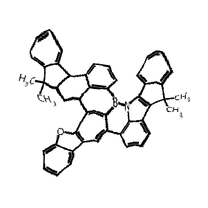 CC1(C)c2ccccc2-c2c1c1cccc3c1n2B1c2cccc4c2C(CC2C4c4ccccc4C2(C)C)c2c1c-3cc1c2oc2ccccc21